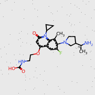 Cc1c(N2CCC([C@H](C)N)C2)c(F)cc2c(OCCNC(=O)O)cc(=O)n(C3CC3)c12